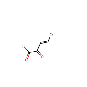 CCC=CC(=O)C(=O)Cl